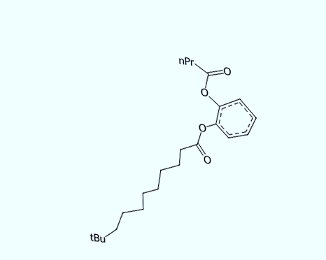 CCCC(=O)Oc1ccccc1OC(=O)CCCCCCCCC(C)(C)C